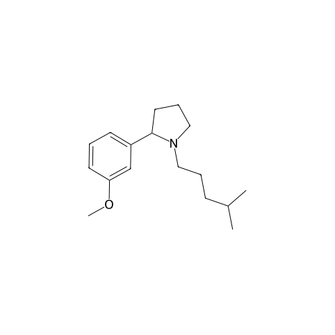 COc1cccc(C2CCCN2CCCC(C)C)c1